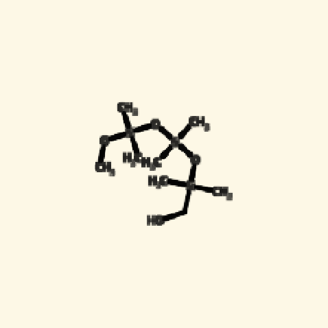 CO[Si](C)(C)O[Si](C)(C)O[Si](C)(C)CO